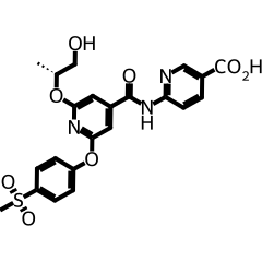 C[C@H](CO)Oc1cc(C(=O)Nc2ccc(C(=O)O)cn2)cc(Oc2ccc(S(C)(=O)=O)cc2)n1